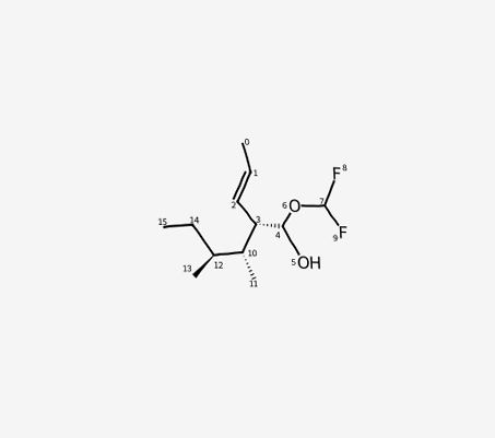 C/C=C/[C@H](C(O)OC(F)F)[C@H](C)[C@@H](C)CC